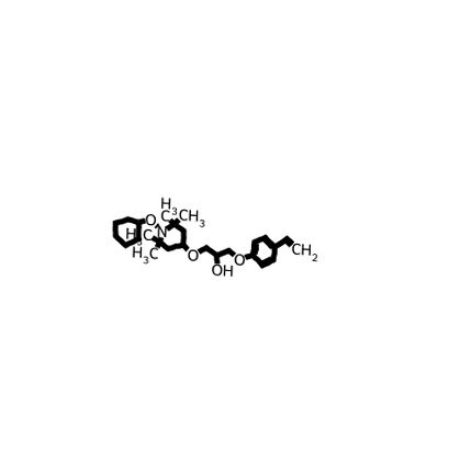 C=Cc1ccc(OCC(O)COC2CC(C)(C)N(OC3CCCCC3)C(C)(C)C2)cc1